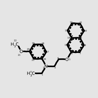 CCN(CCOc1ccc2ccccc2c1)c1cccc(OC)c1